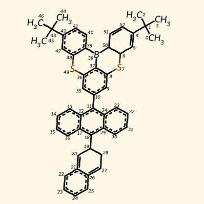 CC(C)(C)C1=CC2Sc3cc(-c4c5ccccc5c(C5C=c6ccccc6=CC5)c5ccccc45)cc4c3B(c3ccc(C(C)(C)C)cc3S4)C2C=C1